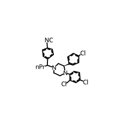 [C-]#[N+]c1ccc(C(CCC)N2CCN(c3ccc(Cl)cc3Cl)[C@H](c3ccc(Cl)cc3)C2)cc1